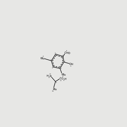 CC(C)(C)c1cc(C=O)c(O)c(C(C)(C)C)c1.CCC(C)C(N)C(=O)O